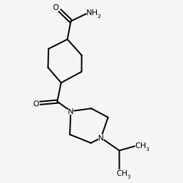 CC(C)N1CCN(C(=O)C2CCC(C(N)=O)CC2)CC1